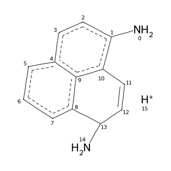 Nc1ccc2cccc3c2c1C=CC3N.[H+]